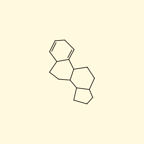 [CH]1CCC2C1CCC1C3=CCC=CC3CCC12